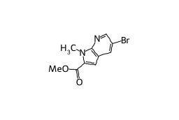 COC(=O)c1cc2cc(Br)cnc2n1C